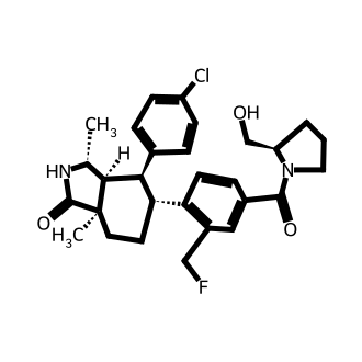 C[C@H]1NC(=O)[C@]2(C)CC[C@@H](c3ccc(C(=O)N4CCC[C@@H]4CO)cc3CF)[C@H](c3ccc(Cl)cc3)[C@H]12